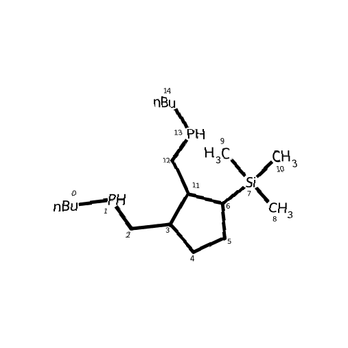 CCCCPCC1CCC([Si](C)(C)C)C1CPCCCC